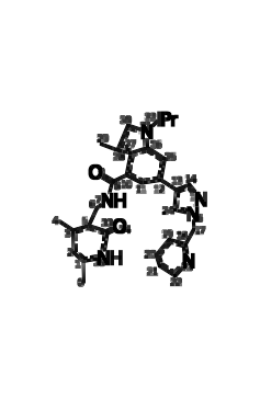 Cc1cc(C)c(CNC(=O)c2cc(-c3cnn(Cc4ccccn4)c3)cc3c2c(C)cn3C(C)C)c(=O)[nH]1